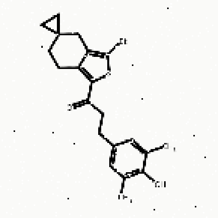 CCc1sc(C(=O)CCc2cc(C)c(O)c(C)c2)c2c1CC1(CC2)CC1